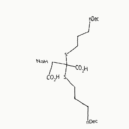 CCCCCCCCCCCCCSC(CC(=O)O)(SCCCCCCCCCCCCC)C(=O)O.[NaH]